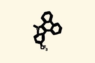 Cn1c2ccc(C(F)(F)F)cc2c2c3ccccc3c3ccccc3c21